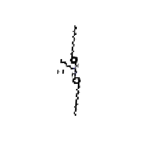 CCCCCCCCCCCc1ccc(/N=C/C(CCCCCC)=N/c2ccc(CCCCCCCCCCC)cc2)cc1.[Pd]